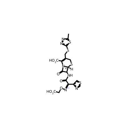 Cc1nnc(SCC2=C(C(=O)O)N3C(=O)C(NC(=O)/C(=N\OCC(=O)O)c4cscn4)[C@H]3SC2)s1